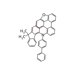 CC1(C)c2ccccc2-c2c(N(c3ccc(-c4ccccc4)cc3)c3cccc4c5cccc6oc7cccc(c34)c7c65)cccc21